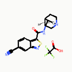 N#Cc1ccc2c(C(=O)N[C@@H]3CN4CCC3CC4)snc2c1.O=C(O)C(F)(F)F